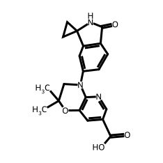 CC1(C)CN(c2ccc3c(c2)C2(CC2)NC3=O)c2ncc(C(=O)O)cc2O1